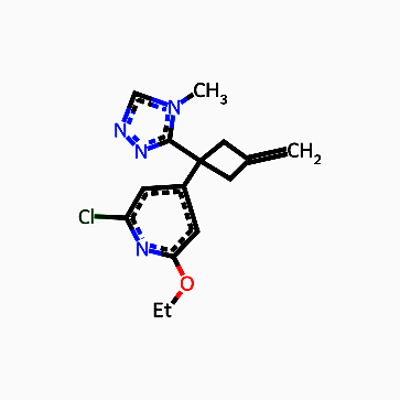 C=C1CC(c2cc(Cl)nc(OCC)c2)(c2nncn2C)C1